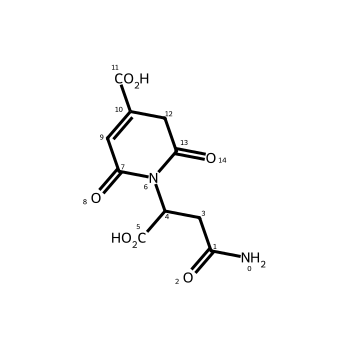 NC(=O)CC(C(=O)O)N1C(=O)C=C(C(=O)O)CC1=O